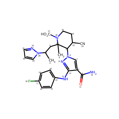 CC(CC1(C)C(n2cc(C(N)=O)c(Nc3ccc(F)cc3)n2)C(C#N)CCN1C(=O)O)n1cccn1